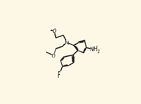 COCCN(CCOC)c1ccc(N)cc1-c1ccc(F)cc1